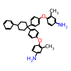 Cc1cc(N)ccc1Oc1ccc(C2(c3ccc(Oc4ccc(N)cc4C)cc3)CCC(c3ccccc3)CC2)cc1